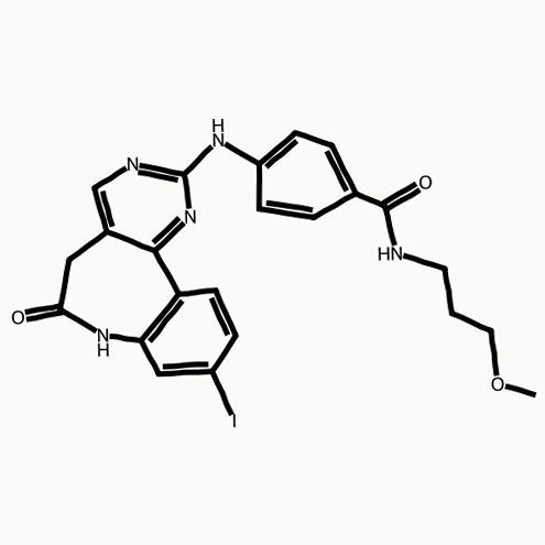 COCCCNC(=O)c1ccc(Nc2ncc3c(n2)-c2ccc(I)cc2NC(=O)C3)cc1